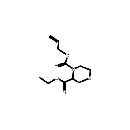 C=CCOC(=O)N1CCSCC1C(=O)OCC